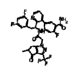 CC1Cc2c(c(C(F)(F)F)nn2CC(=O)N[C@@H](Cc2cc(F)cc(F)c2)c2ncccc2-c2ccc(F)c(C(N)=O)c2)C1=O